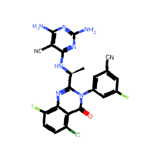 C[C@H](Nc1nc(N)nc(N)c1C#N)c1nc2c(F)ccc(Cl)c2c(=O)n1-c1cc(F)cc(C#N)c1